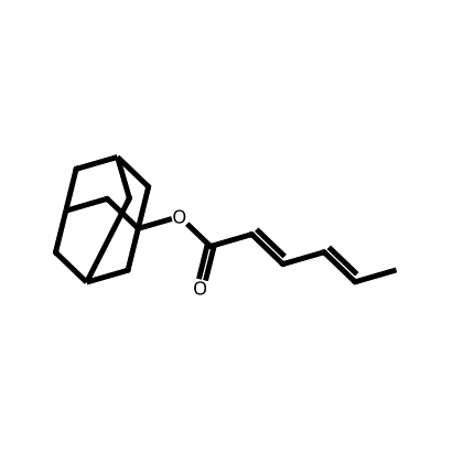 C/C=C/C=C/C(=O)OC12CC3CC(CC(C3)C1)C2